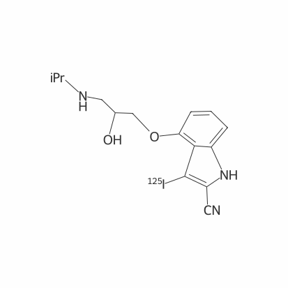 CC(C)NCC(O)COc1cccc2[nH]c(C#N)c([125I])c12